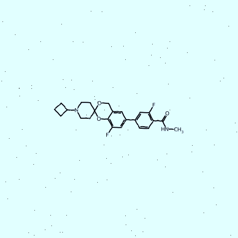 CNC(=O)c1ccc(-c2cc(F)c3c(c2)COC2(CCN(C4CCC4)CC2)O3)cc1F